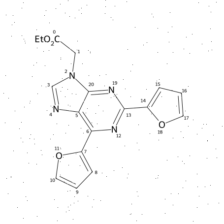 CCOC(=O)Cn1cnc2c(-c3ccco3)nc(-c3ccco3)nc21